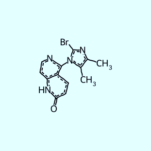 Cc1nc(Br)n(-c2nccc3[nH]c(=O)ccc23)c1C